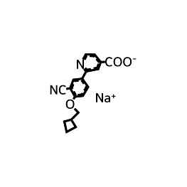 N#Cc1cc(-c2cc(C(=O)[O-])ccn2)ccc1OCC1CCC1.[Na+]